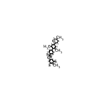 Cc1cc(C2CCC(C)CO2)cc(C)c1-c1ccc(C(F)(F)Oc2cc(F)c(C)c(F)c2)cc1